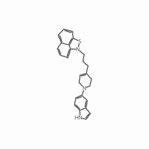 C1=C(CCCN2Sc3cccc4cccc2c34)CCN(c2ccc3[nH]ccc3c2)C1